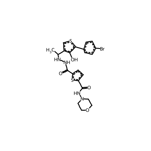 CC(NNC(=O)c1ccc(C(=O)NN2CCOCC2)s1)c1csc(-c2ccc(Br)cc2)c1O